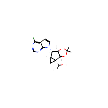 CC(O)[C@@]12C[C@@H]1[C@@H](n1ccc3c(Cl)ncnc31)[C@@H]1OC(C)(C)O[C@@H]12